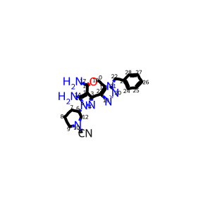 Cc1c(-c2nn(C3CCCN(C#N)C3)c(N)c2C(N)=O)nnn1Cc1ccccc1